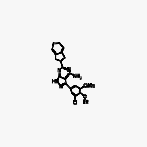 CCOc1c(Cl)cc(-c2n[nH]c3nc(C4Cc5ccccc5C4)nc(N)c23)cc1OC